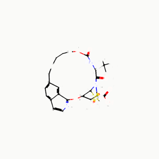 CC(C)(C)[C@@H]1NC(=O)OCCCCCc2ccc3ccnc(c3c2)O[C@@H]2C[C@@H](C(=O)O)N(C1=O)C2S(C)(=O)=O